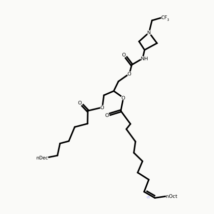 CCCCCCCC/C=C\CCCCCCCC(=O)OC(COC(=O)CCCCCCCCCCCCCCC)COC(=O)NC1CN(CC(F)(F)F)C1